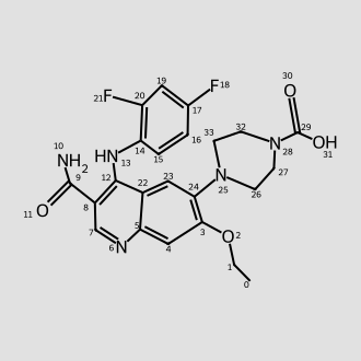 CCOc1cc2ncc(C(N)=O)c(Nc3ccc(F)cc3F)c2cc1N1CCN(C(=O)O)CC1